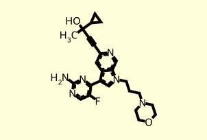 CC(O)(C#Cc1cc2c(-c3nc(N)ncc3F)cn(CCCN3CCOCC3)c2cn1)C1CC1